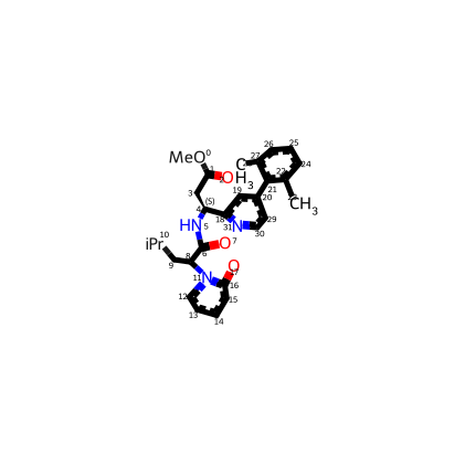 COC(=O)C[C@H](NC(=O)C(CC(C)C)n1ccccc1=O)c1cc(-c2c(C)cccc2C)ccn1